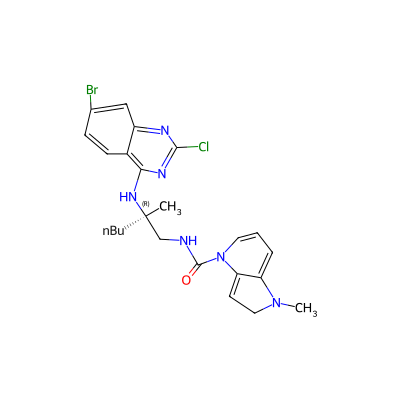 CCCC[C@](C)(CNC(=O)N1C=CC=C2C1=CCN2C)Nc1nc(Cl)nc2cc(Br)ccc12